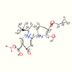 CCOC(=O)c1cn2c(cc1=O)-c1nc(OC)c(OCC3CC3)cc1C[C@@H]2C(C)(C)C